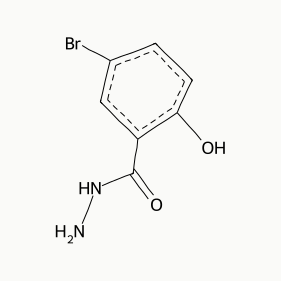 NNC(=O)c1cc(Br)ccc1O